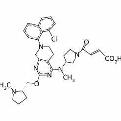 CN(c1nc(OC[C@@H]2CCCN2C)nc2c1CCN(c1cccc3cccc(Cl)c13)C2)C1CCN(C(=O)/C=C/C(=O)O)C1